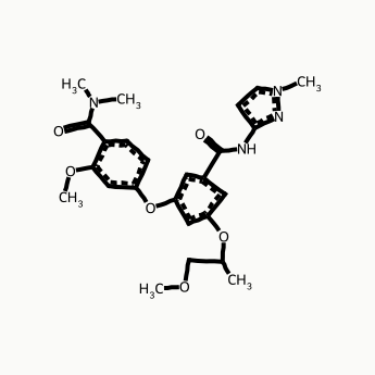 COCC(C)Oc1cc(Oc2ccc(C(=O)N(C)C)c(OC)c2)cc(C(=O)Nc2ccn(C)n2)c1